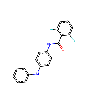 O=C(Nc1ccc(Nc2ccccc2)cc1)c1c(F)cccc1F